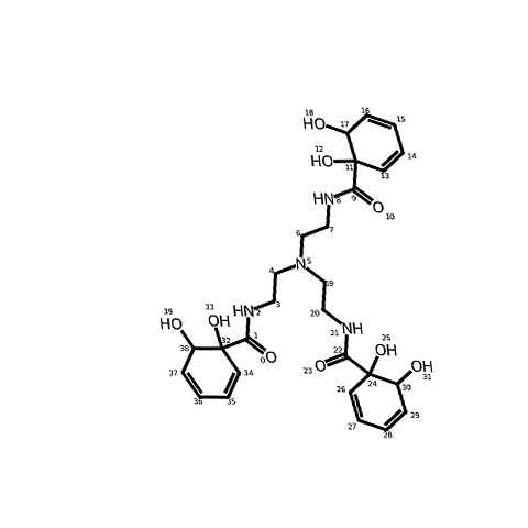 O=C(NCCN(CCNC(=O)C1(O)C=CC=CC1O)CCNC(=O)C1(O)C=CC=CC1O)C1(O)C=CC=CC1O